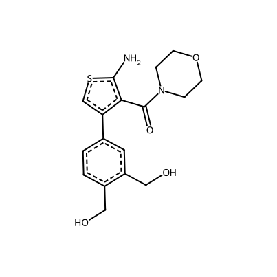 Nc1scc(-c2ccc(CO)c(CO)c2)c1C(=O)N1CCOCC1